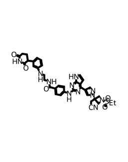 CCS(=O)(=O)N1CC(CC#N)(n2cc(-c3nc(Nc4ccc(C(=O)NCCNc5cccc(C6CCC(=O)NC6=O)c5)cc4)nc4[nH]ccc34)cn2)C1